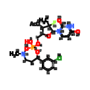 CC(=O)OC1C(CO[P]2(O)OC(c3cccc(Cl)c3)CCN(C)O2)OC(n2ccc(=O)[nH]c2=O)C1(C)F